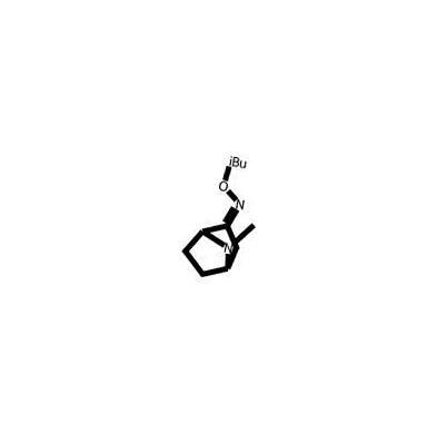 CCC(C)O/N=C1/CC2CCC1N2C